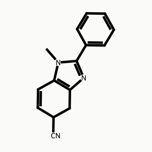 Cn1c(-c2ccccc2)nc2c1C=CC(C#N)C2